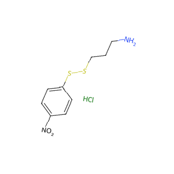 Cl.NCCCSSc1ccc([N+](=O)[O-])cc1